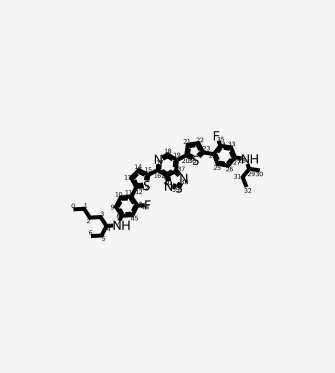 CCCCC(CC)Nc1ccc(-c2ccc(-c3ncc(-c4ccc(-c5ccc(NC(C)CC)cc5F)s4)c4nsnc34)s2)c(F)c1